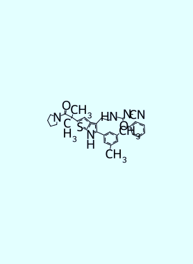 Cc1cc(C)cc(-c2[nH]c3sc(C(C)(C)C(=O)N4CCCC4)cc3c2CCN/C(=N/C#N)Oc2ccccc2)c1